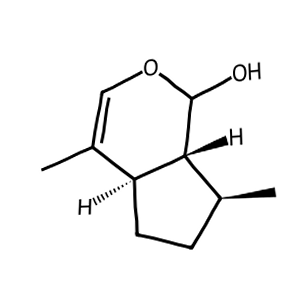 CC1=COC(O)[C@@H]2[C@@H](C)CC[C@@H]12